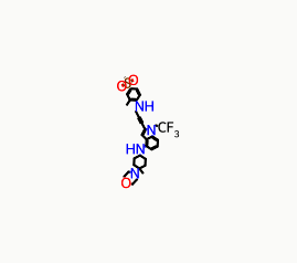 Cc1cc(S(C)(=O)=O)ccc1NCC#Cc1cc2c(NC3CCC(C)(N4CCOCC4)CC3)cccc2n1CC(F)(F)F